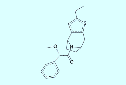 CCc1cc2c(s1)CC1CCC2N1C(=O)[C@@H](OC)c1ccccc1